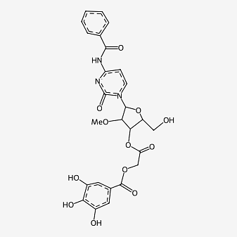 COC1C(OC(=O)COC(=O)c2cc(O)c(O)c(O)c2)C(CO)OC1n1ccc(NC(=O)c2ccccc2)nc1=O